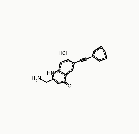 Cl.NCc1cc(=O)c2cc(C#Cc3ccccc3)ccc2[nH]1